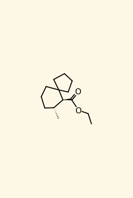 CCOC(=O)[C@H]1[C@H](C)CCCC12CCCC2